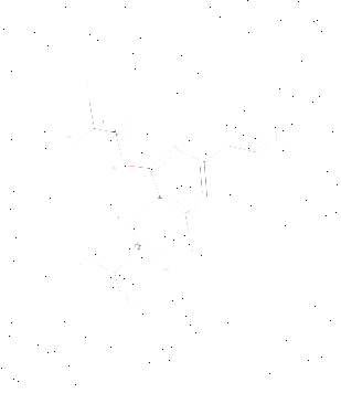 C=CCc1cc(Cl)c(OC(=O)C(C)C)c(OC(=O)C(C)C)c1